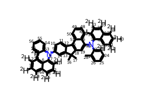 [2H]c1c([2H])c([2H])c2c(N(c3ccc4c(c3)C(C)(C)c3cc(N(c5ccccc5C)c5c([2H])c([2H])c([2H])c6c([2H])c([2H])c([2H])c([2H])c56)c5ccccc5c3-4)c3ccccc3C)c([2H])c([2H])c([2H])c2c1[2H]